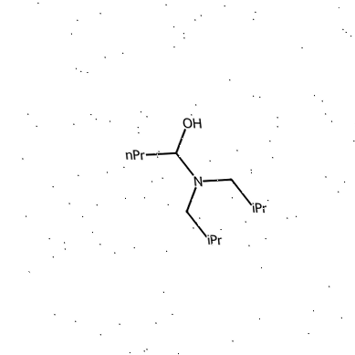 CCCC(O)N(CC(C)C)CC(C)C